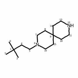 CC(C)(C)CCN1CCC2(CCNCC2)CC1